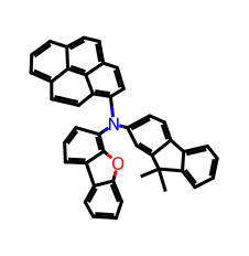 CC1(C)c2ccccc2-c2ccc(N(c3ccc4ccc5cccc6ccc3c4c56)c3cccc4c3oc3ccccc34)cc21